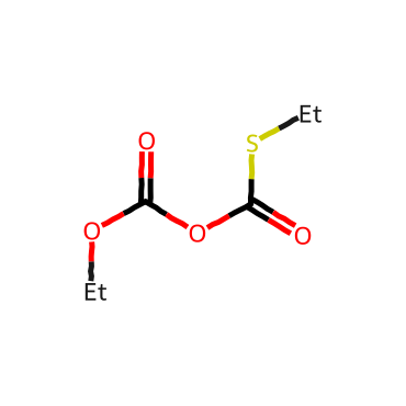 CCOC(=O)OC(=O)SCC